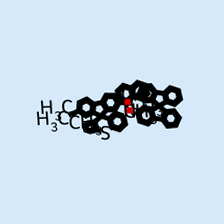 CC(C)(C)c1ccc2c(c1)C1(c3ccccc3Sc3ccc(N(c4ccc5c(c4)C4(c6ccccc6-c6ccccc64)c4ccccc4-5)c4cccc5ccccc45)cc31)c1cc(C(C)(C)C)ccc1-2